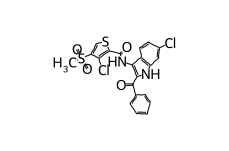 CS(=O)(=O)c1csc(C(=O)Nc2c(C(=O)c3ccccc3)[nH]c3cc(Cl)ccc23)c1Cl